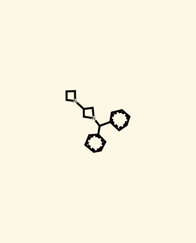 c1ccc(C(c2ccccc2)N2CC(N3CCC3)C2)cc1